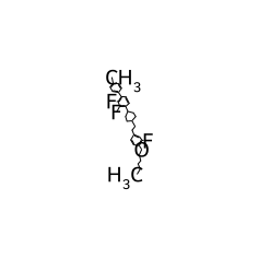 CCCCCOc1ccc(CCC2CCC(c3ccc(-c4ccc(C)cc4)c(F)c3F)CC2)cc1F